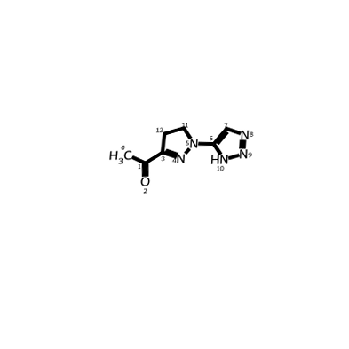 CC(=O)C1=NN(c2cnn[nH]2)CC1